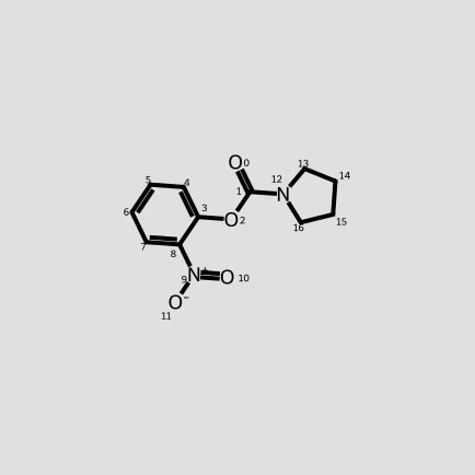 O=C(Oc1ccccc1[N+](=O)[O-])N1CCCC1